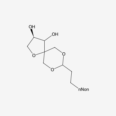 CCCCCCCCCCCC1OCC2(CO1)OC[C@@H](O)C2O